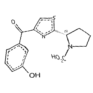 O=C(c1cccc(O)c1)c1csc([C@@H]2CCCN2C(=O)O)n1